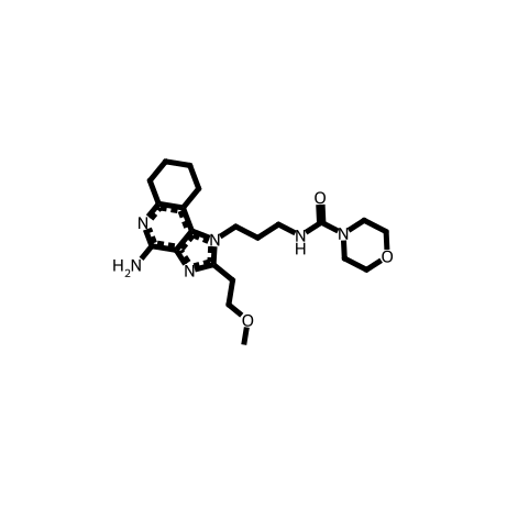 COCCc1nc2c(N)nc3c(c2n1CCCNC(=O)N1CCOCC1)CCCC3